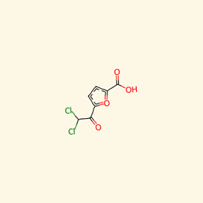 O=C(O)c1ccc(C(=O)C(Cl)Cl)o1